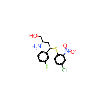 N[C@H](CO)C[C@@H](Sc1ccc(Cl)cc1[N+](=O)[O-])c1cccc(F)c1